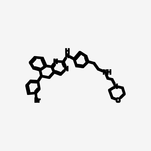 Brc1cccc(C2Cc3cnc(Nc4ccc(CCNCCN5CCOCC5)cc4)nc3-c3ccccc32)c1